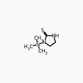 C[Si](C)(C)N1CCNC1=S